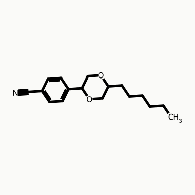 CCCCCCC1COC(c2ccc(C#N)cc2)CO1